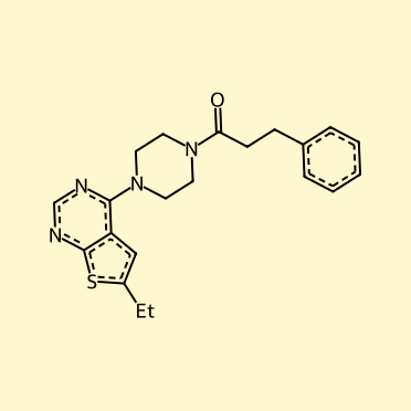 CCc1cc2c(N3CCN(C(=O)CCc4ccccc4)CC3)ncnc2s1